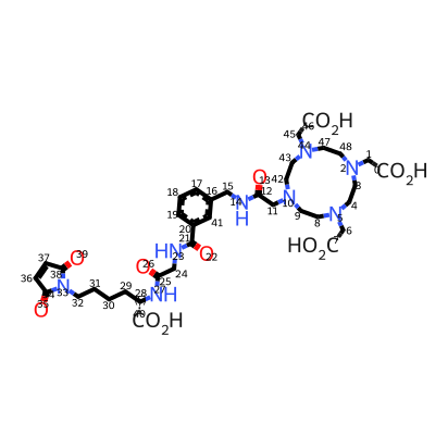 O=C(O)CN1CCN(CC(=O)O)CCN(CC(=O)NCc2cccc(C(=O)NCC(=O)N[C@@H](CCCCN3C(=O)C=CC3=O)C(=O)O)c2)CCN(CC(=O)O)CC1